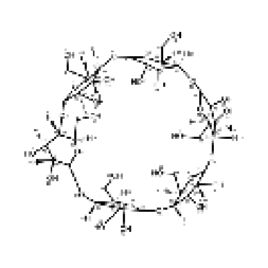 OC[C@H]1OC2O[C@H]3[C@H](O)[C@@H](O)C(O[C@@H]3CO)O[C@H]3C(O)C(O)C(O[C@@H]3CO)O[C@H]3C(O)[C@@H](O)C(O[C@H]4[C@H](O)C(O)C(O[C@@H]4CO)O[C@H]4C(O)C(O)C(O[C@H]1[C@H](O)[C@H]2O)O[C@@H]4CO)O[C@@H]3CO